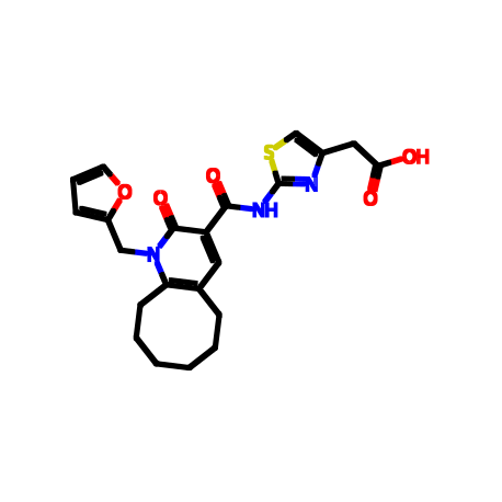 O=C(O)Cc1csc(NC(=O)c2cc3c(n(Cc4ccco4)c2=O)CCCCCC3)n1